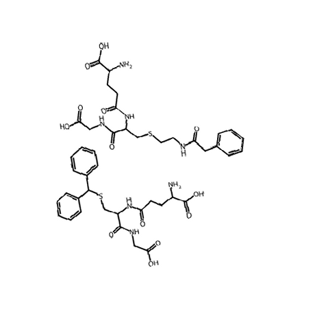 NC(CCC(=O)NC(CSC(c1ccccc1)c1ccccc1)C(=O)NCC(=O)O)C(=O)O.NC(CCC(=O)NC(CSCCNC(=O)Cc1ccccc1)C(=O)NCC(=O)O)C(=O)O